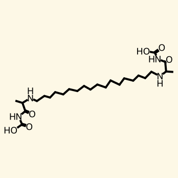 CC(NCCCCCCCCCCCCCCCCCCNC(C)C(=O)NC(=O)O)C(=O)NC(=O)O